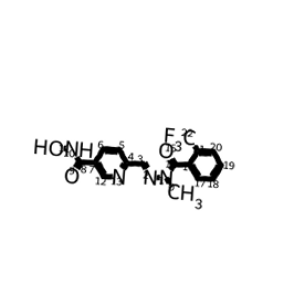 CN(N=Cc1ccc(C(=O)NO)cn1)C(=O)c1ccccc1C(F)(F)F